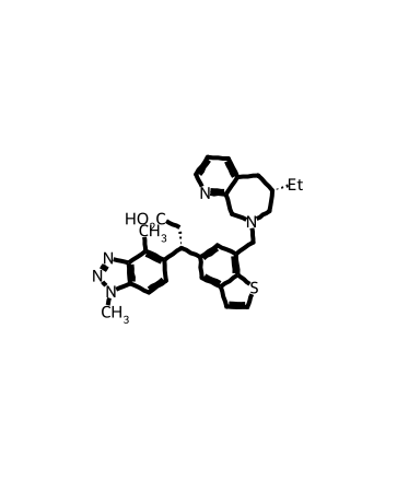 CC[C@H]1Cc2cccnc2CN(Cc2cc([C@@H](CC(=O)O)c3ccc4c(nnn4C)c3C)cc3ccsc23)C1